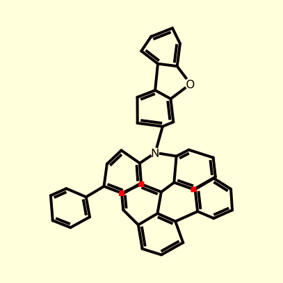 c1ccc(-c2ccc(N(c3ccc4c(c3)oc3ccccc34)c3ccccc3-c3cccc4cccc(-c5ccccc5)c34)cc2)cc1